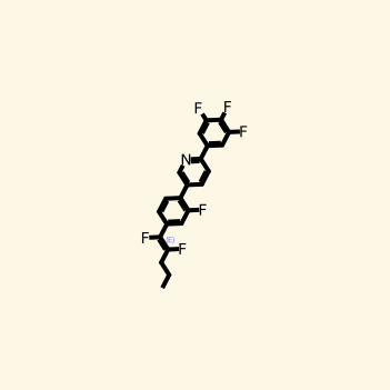 CCC/C(F)=C(\F)c1ccc(-c2ccc(-c3cc(F)c(F)c(F)c3)nc2)c(F)c1